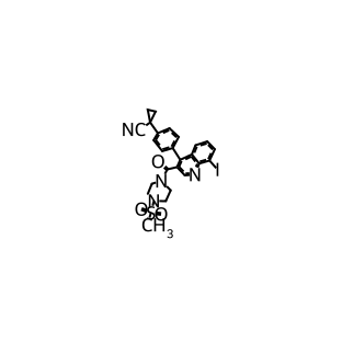 CS(=O)(=O)N1CCN(C(=O)c2cnc3c(I)cccc3c2-c2ccc(C3(C#N)CC3)cc2)CC1